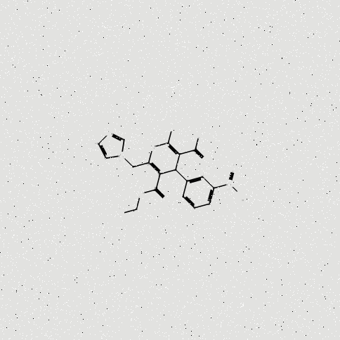 CCOC(=O)C1=C(Cn2ccnc2)NC(C)=C(C(=O)O)C1c1cccc([N+](=O)[O-])c1